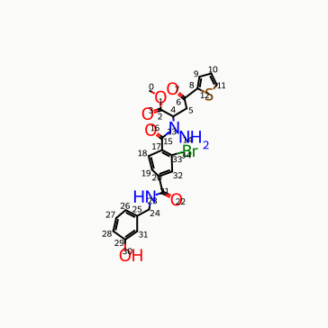 COC(=O)C(CC(=O)c1cccs1)N(N)C(=O)c1ccc(C(=O)NCc2cccc(O)c2)cc1Br